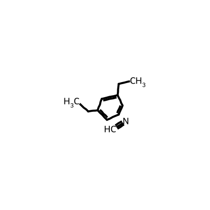 C#N.CCc1cccc(CC)c1